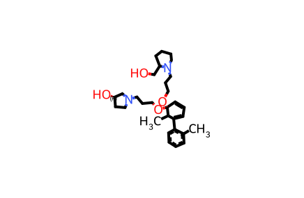 Cc1ccccc1C1=CC=CC(OCCCN2CC[C@@H](O)C2)(OCCCN2CCCCC2CO)C1C